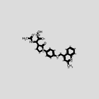 CC(=O)NC(C(=O)NO)C1CCN(c2ccc(OCc3cc(C)nc4ccccc34)cc2)C1=O